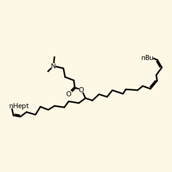 CCCC/C=C\C/C=C\CCCCCCCCC(CCCCCCCC/C=C\CCCCCCC)OC(=O)CCCN(C)C